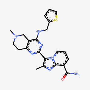 Cc1nc2c(C(N)=O)cccn2c1-c1nc2c(c(NCc3cccs3)n1)CN(C)CC2